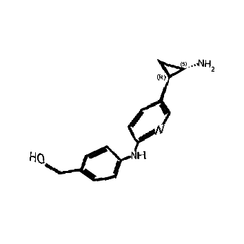 N[C@H]1C[C@@H]1c1ccc(Nc2ccc(CO)cc2)nc1